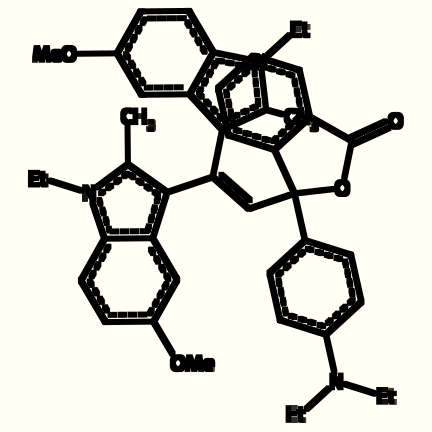 CCN(CC)c1ccc(C2(C=C(c3c(C)n(CC)c4ccc(OC)cc34)c3c(C)n(CC)c4ccc(OC)cc34)OC(=O)c3ccccc32)cc1